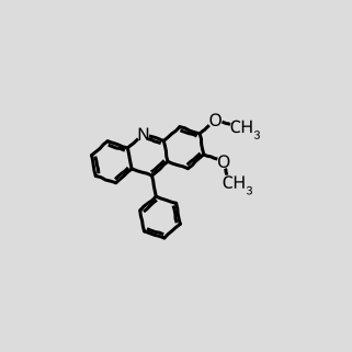 COc1cc2nc3ccccc3c(-c3ccccc3)c2cc1OC